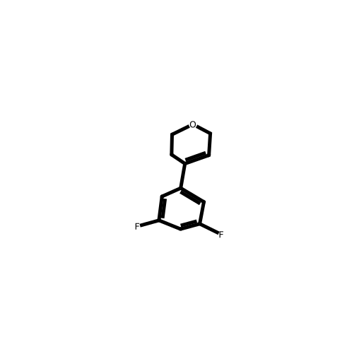 Fc1cc(F)cc(C2=CCOCC2)c1